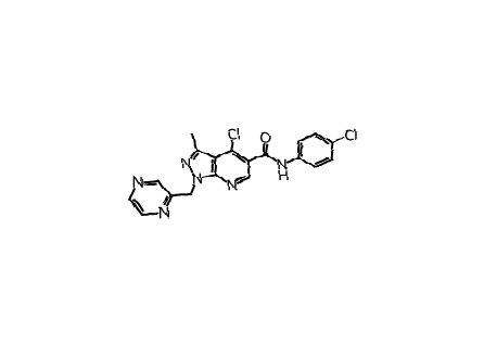 Cc1nn(Cc2cnccn2)c2ncc(C(=O)Nc3ccc(Cl)cc3)c(Cl)c12